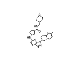 Cc1ccc2cc(-n3nnc4cnc(N[C@@H]5CC[C@@H](C(=O)NCC6CCN(C)CC6)C5)nc43)ccc2n1